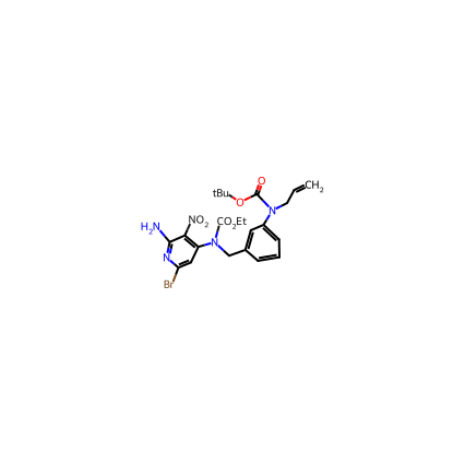 C=CCN(C(=O)OC(C)(C)C)c1cccc(CN(C(=O)OCC)c2cc(Br)nc(N)c2[N+](=O)[O-])c1